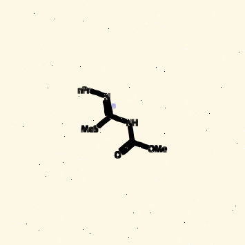 CCC/N=C(/NC(=O)OC)SC